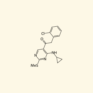 CSc1ncc(C(=O)Cc2ccccc2Cl)c(NC2CC2)n1